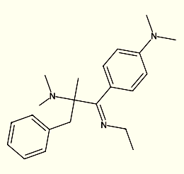 CC/N=C(\c1ccc(N(C)C)cc1)C(C)(Cc1ccccc1)N(C)C